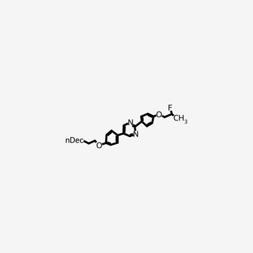 CCCCCCCCCCCCOc1ccc(-c2cnc(-c3ccc(OCC(C)F)cc3)nc2)cc1